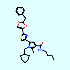 CCCCNC(=O)c1cc(-c2csc(C3=COC(Cc4ccccc4)O3)n2)n(CC2CCCCC2)c1C